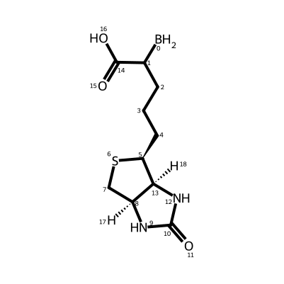 BC(CCC[C@@H]1SC[C@@H]2NC(=O)N[C@@H]21)C(=O)O